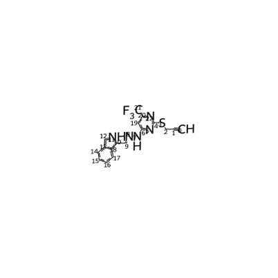 C#CCSc1nc(NN=Cc2[nH]cc3ccccc23)cc(C(F)(F)F)n1